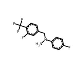 NN(Cc1ccc(C(F)(F)F)c(F)c1)c1ccc(F)cc1